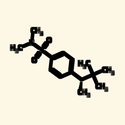 C[C@H](c1ccc(S(=O)(=O)N(C)C)cc1)C(C)(C)C